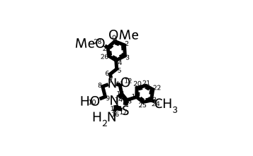 COc1ccc(CCN(CCO)C(=O)c2nc(N)sc2-c2cccc(C)c2)cc1OC